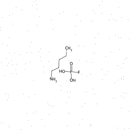 CCCCCN.O=P(O)(O)F